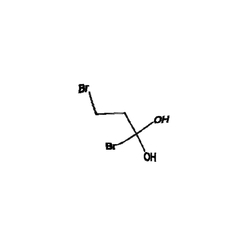 OC(O)(Br)CCBr